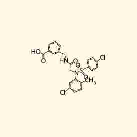 Cc1ccc(Cl)cc1N(CC(=O)NCc1cccc(C(=O)O)c1)S(=O)(=O)c1ccc(Cl)cc1